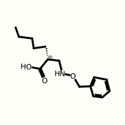 CCCCC[C@H](CNOCc1ccccc1)C(=O)O